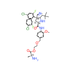 C/N=C\[C@]1(c2ccc(Cl)cc2F)C(CC(C)(C)C)N[C@@H](C(=O)Nc2ccc(COCCOC(=O)[C@H](C)N)cc2OC)[C@@H]1c1cccc(Cl)c1F